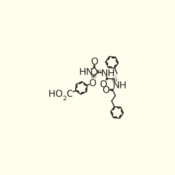 O=C(CCc1ccccc1)N[C@@H](Cc1ccccc1)C(=O)N[C@@H]1C(=O)N[C@H]1Oc1ccc(C(=O)O)cc1